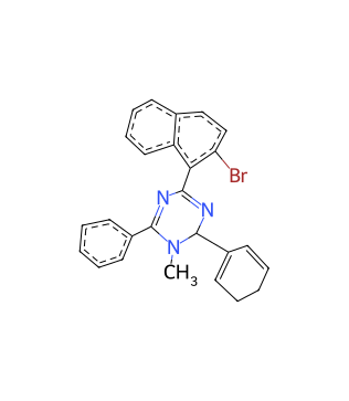 CN1C(c2ccccc2)=NC(c2c(Br)ccc3ccccc23)=NC1C1=CCCC=C1